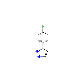 Brc1ccc(C2C=CNN2)cc1